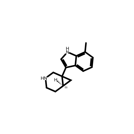 Cc1cccc2c(C34CNCC[C@@H]3C4)c[nH]c12